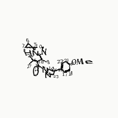 C=N/C(NC1(C)CC1)=C(\C)C(C(=O)n1cc(-c2ccc(OC)cc2)cn1)=C(C)C